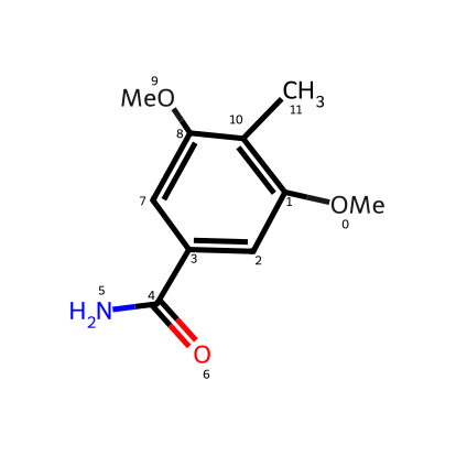 COc1cc(C(N)=O)cc(OC)c1C